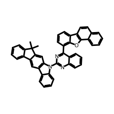 CC1(C)c2ccccc2-c2cc3c4ccccc4n(-c4nc(-c5cccc6c5oc5c7ccccc7ccc65)c5ccccc5n4)c3cc21